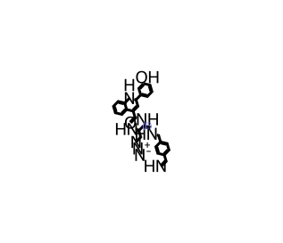 [N-]=[N+]=NCC(=N)/C(=C\NCc1ccc(C=N)cc1)NC(=O)C1=CC(c2cccc(O)c2)Nc2ccccc21